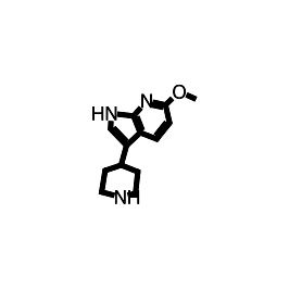 COc1ccc2c(C3CCNCC3)c[nH]c2n1